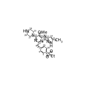 CCS(=O)(=O)c1ccc(Sc2nc(Nc3cc(C)[nH]n3)c(OC)c(N3CCNCC3)n2)cc1